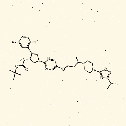 CC(C)c1noc(N2CCC([C@H](C)CCOc3cnc(N4C[C@H](NC(=O)OC(C)(C)C)[C@@H](c5cc(F)ccc5F)C4)nc3)CC2)n1